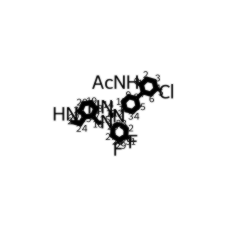 CC(=O)Nc1ccc(Cl)cc1-c1ccc(-n2c(=N)n(Cc3cccc4[nH]ccc34)c3cc(F)c(F)cc32)cc1